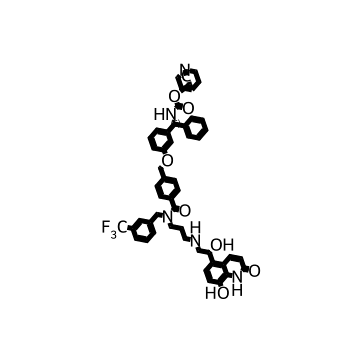 O=C(N[C@@H](c1ccccc1)c1cccc(OCc2ccc(C(=O)N(CCCNCC(O)c3ccc(O)c4[nH]c(=O)ccc34)Cc3cccc(C(F)(F)F)c3)cc2)c1)OC1CN2CCC1CC2